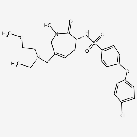 CCN(CCOC)CC1=CC[C@@H](NS(=O)(=O)c2ccc(Oc3ccc(Cl)cc3)cc2)C(=O)N(O)C1